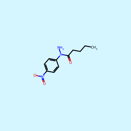 CCCCC(=O)N(N)c1ccc([N+](=O)[O-])cc1